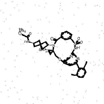 Cc1cccc(C)c1-c1cc2nc(n1)NS(=O)(=O)c1cccc(c1)C(=O)N([C@H]1CC3(C[C@H](NC(=O)OC(C)(C)C)C3)C1)C1(CO2)C[C@@H]1C(C)(C)C